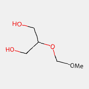 COCOC(CO)CO